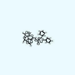 CC(=O)OC1[C@@H](Br)OC(COP(=O)(OCc2ccccc2)OCc2ccccc2)[C@@H](OC(C)=O)[C@H]1OC(C)=O